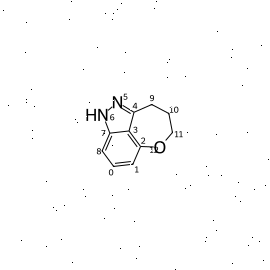 c1cc2c3c(n[nH]c3c1)CCCO2